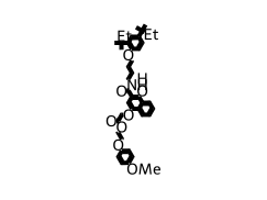 CCC(C)(C)c1ccc(OCCCCNC(=O)c2cc(OCC(=O)OCCOc3ccc(OC)cc3)c3ccccc3c2O)c(C(C)(C)CC)c1